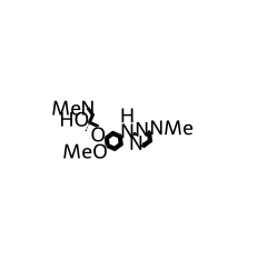 CNC[C@](C)(O)COc1cc(Nc2nccc(NC)n2)ccc1OC